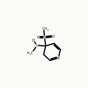 C[S+]([O-])C1(S(C)(=O)=O)C=CN=CC1